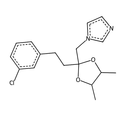 CC1OC(CCc2cccc(Cl)c2)(Cn2ccnc2)OC1C